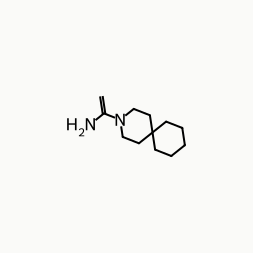 C=C(N)N1CCC2(CCCCC2)CC1